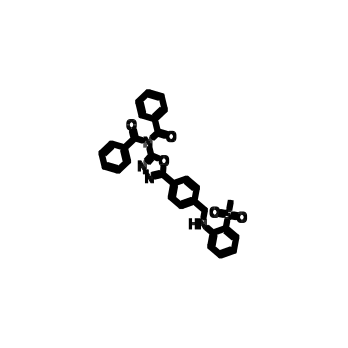 CS(=O)(=O)c1ccccc1NCc1ccc(-c2nnc(N(C(=O)c3ccccc3)C(=O)c3ccccc3)o2)cc1